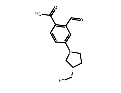 O=Cc1cc(N2CC[C@H](CO)C2)ccc1C(=O)O